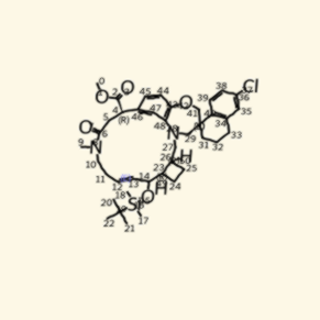 COC(=O)[C@@H]1CC(=O)N(C)CC/C=C/C(O[Si](C)(C)C(C)(C)C)[C@@H]2CC[C@H]2CN2C[C@@]3(CCCc4cc(Cl)ccc43)COc3ccc1cc32